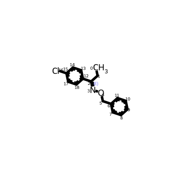 CC/C(=N\OCc1ccccc1)c1ccc(Cl)cc1